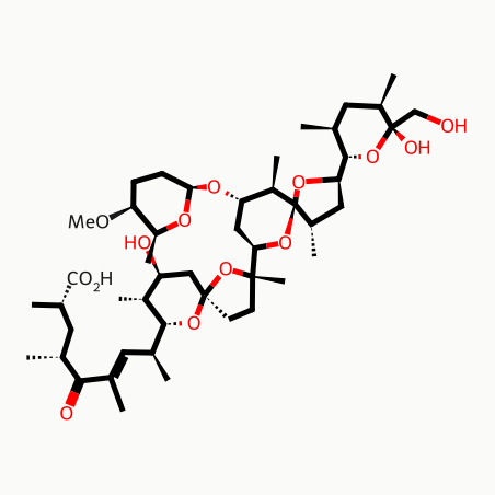 CO[C@H]1CC[C@@H](O[C@H]2C[C@H]([C@]3(C)CC[C@]4(C[C@H](O)[C@@H](C)[C@@H]([C@@H](C)/C=C(\C)C(=O)[C@H](C)C[C@H](C)C(=O)O)O4)O3)O[C@]3(O[C@@H]([C@H]4O[C@@](O)(CO)[C@H](C)C[C@@H]4C)C[C@@H]3C)[C@@H]2C)O[C@H]1C